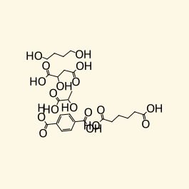 CC(O)C(=O)O.O=C(O)CC(O)C(=O)O.O=C(O)CCCCC(=O)O.O=C(O)c1ccc(C(=O)O)cc1.OCCCCO